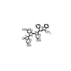 CN1C(=C/C(c2ccccc2)=c2/s/c(=c3/s/c(=C4/SC(=O)N(CC(=O)O)C4=O)n(CC(=O)O)c3=O)n(CC(=O)O)c2=O)Sc2ccccc21